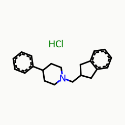 Cl.c1ccc(C2CCN(CC3Cc4ccccc4C3)CC2)cc1